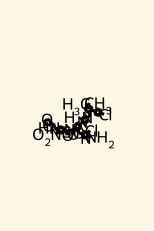 CC1(C)CCC(CN2CCN(c3ccc(C(=O)N[S+]([O-])c4ccc(NCC5COCCO5)c([N+](=O)[O-])c4)c(Oc4cnc(N)c(Cl)c4)c3)CC2)=C(c2ccc(Cl)cc2)C1